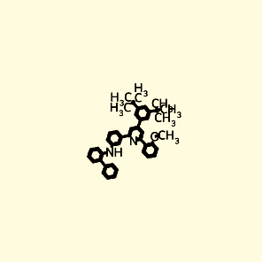 COc1ccccc1-c1cc(-c2cc(C(C)(C)C)cc(C(C)(C)C)c2)cc(-c2cccc(Nc3ccccc3-c3ccccc3)c2)n1